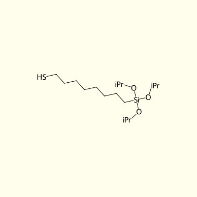 CC(C)O[Si](CCCCCCCCS)(OC(C)C)OC(C)C